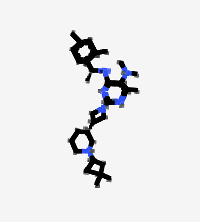 Cc1ccc([C@@H](C)Nc2nc(N3CC([C@H]4CCCN(C5CC(C)(C)C5)C4)C3)nc(C)c2N(C)C)c(C)c1